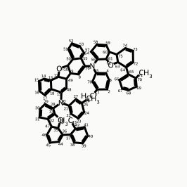 Cc1cccc(N(C2=CC3C(OC4c5ccccc5C(N(c5cccc(C)c5)c5cccc6c5OC5C(c7ccccc7C)=CC=CC65)=CC43)c3ccccc32)C2=CC=CC3C2OC2C(c4ccccc4C)=CC=CC23)c1